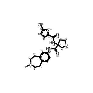 CN1CCc2ccc(NC(=O)C3(NC(=O)c4ccc(Cl)s4)CCOC3)cc2CC1